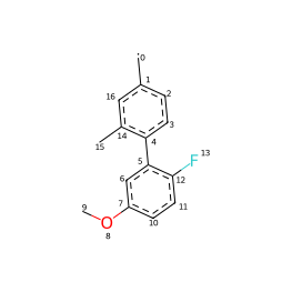 [CH2]c1ccc(-c2cc(OC)ccc2F)c(C)c1